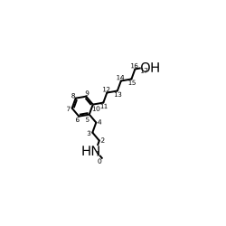 CNCCCc1ccccc1CCCCCCO